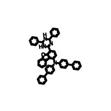 c1ccc(-c2ccc(N(c3ccc(-c4ccccc4)cc3)c3ccc(C4=NC(c5ccccc5)NC(c5ccccc5)N4)c4oc5ccccc5c34)cc2)cc1